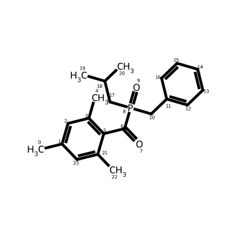 Cc1cc(C)c(C(=O)P(=O)(Cc2ccccc2)CC(C)C)c(C)c1